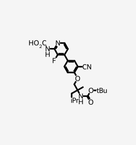 CC(C)CC(C)(COc1ccc(-c2ccnc(NC(=O)O)c2F)cc1C#N)NC(=O)OC(C)(C)C